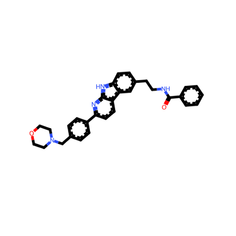 O=C(NCCc1ccc2[nH]c3nc(-c4ccc(CN5CCOCC5)cc4)ccc3c2c1)c1ccccc1